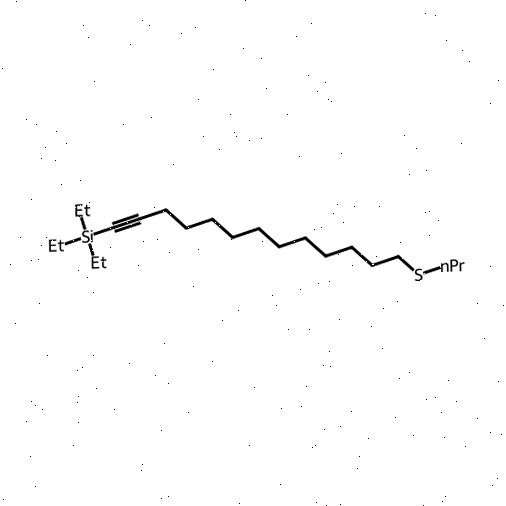 CCCSCCCCCCCCCCCC#C[Si](CC)(CC)CC